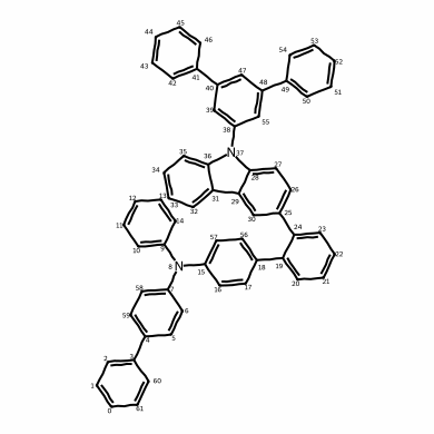 c1ccc(-c2ccc(N(c3ccccc3)c3ccc(-c4ccccc4-c4ccc5c(c4)c4ccccc4n5-c4cc(-c5ccccc5)cc(-c5ccccc5)c4)cc3)cc2)cc1